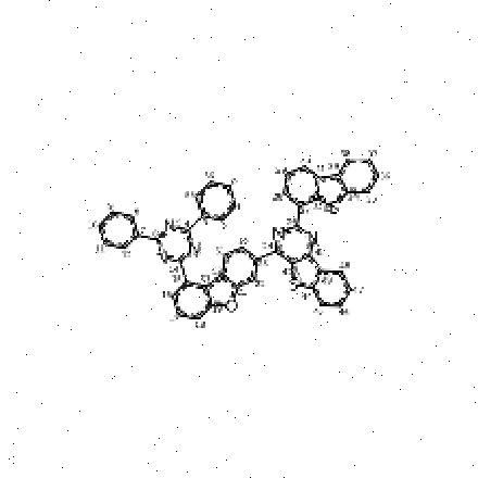 c1ccc(-c2nc(-c3ccccc3)nc(-c3cccc4oc5cc(-c6nc(-c7cccc8c7sc7ccccc78)nc7c6sc6ccccc67)ccc5c34)n2)cc1